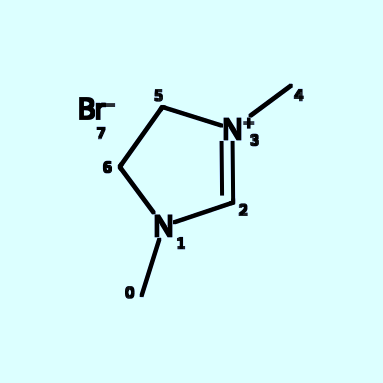 CN1C=[N+](C)CC1.[Br-]